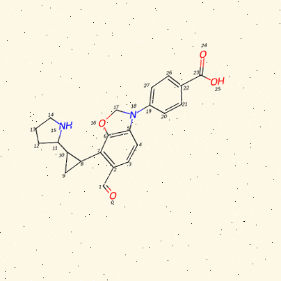 O=Cc1ccc2c(c1C1CC1C1CCCN1)OCN2c1ccc(C(=O)O)cc1